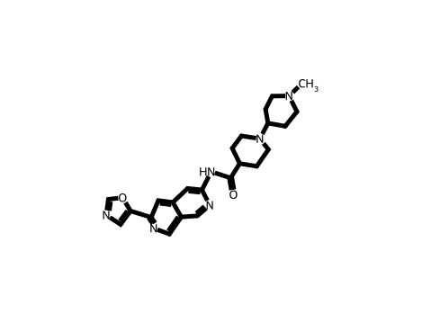 CN1CCC(N2CCC(C(=O)Nc3cc4cc(-c5cnco5)ncc4cn3)CC2)CC1